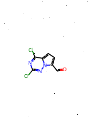 O=Cc1ccc2c(Cl)nc(Cl)nn12